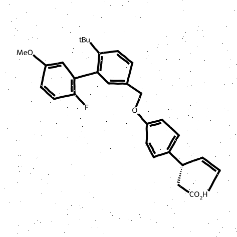 C/C=C\[C@H](CC(=O)O)c1ccc(OCc2ccc(C(C)(C)C)c(-c3cc(OC)ccc3F)c2)cc1